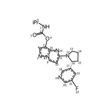 CC(C)NC(=O)Oc1cnn2ccc(N3CCC[C@@H]3c3cncc(F)c3)nc12